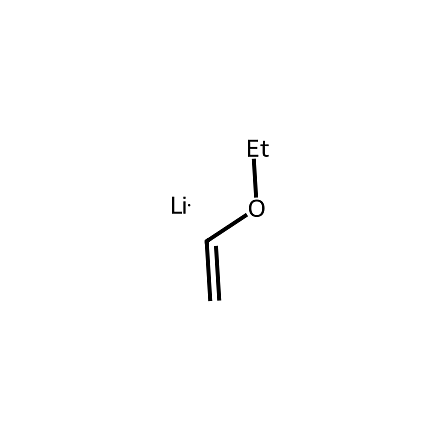 C=COCC.[Li]